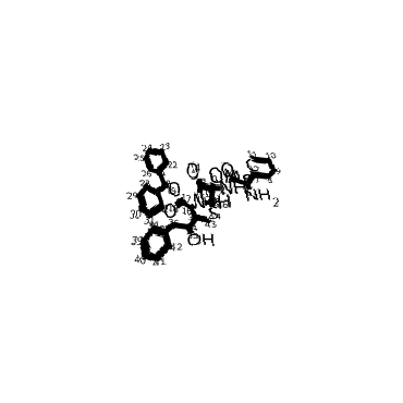 COC1(NC(=O)C(N)C2=CCC=CC2)C(=O)N2C(C(=O)OC(c3ccccc3)c3ccccc3)C(C(O)Cc3ccccc3)=CS[C@@H]21